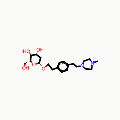 CN1CCN(CCc2ccc(CCO[C@H]3C[C@@H](O)[C@H](O)[C@@H](CO)O3)cc2)CC1